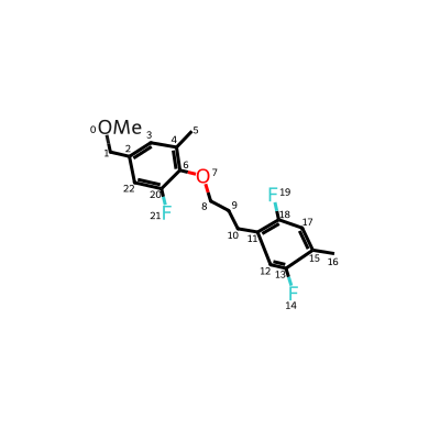 COCc1cc(C)c(OCCCc2cc(F)c(C)cc2F)c(F)c1